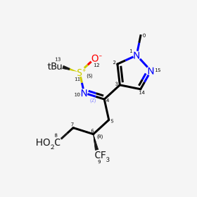 Cn1cc(/C(C[C@H](CC(=O)O)C(F)(F)F)=N\[S@+]([O-])C(C)(C)C)cn1